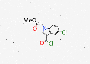 COC(=O)Cn1cc(C(=O)Cl)c2cc(Cl)ccc21